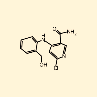 NC(=O)c1cnc(Cl)cc1Nc1ccccc1CO